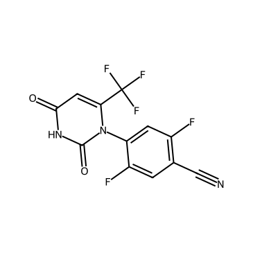 N#Cc1cc(F)c(-n2c(C(F)(F)F)cc(=O)[nH]c2=O)cc1F